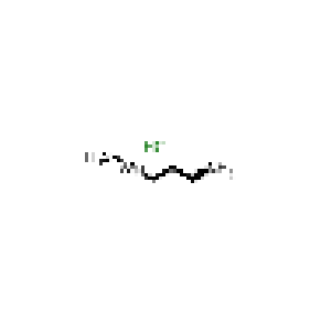 C=CC[CH2][Mg][SiH3].Cl